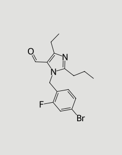 CCCc1nc(CC)c(C=O)n1Cc1ccc(Br)cc1F